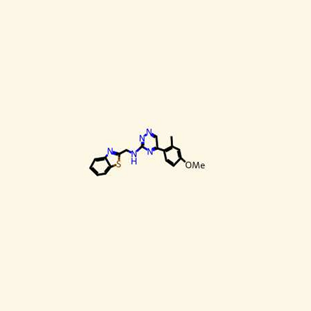 COc1ccc(-c2cnnc(NCc3nc4ccccc4s3)n2)c(C)c1